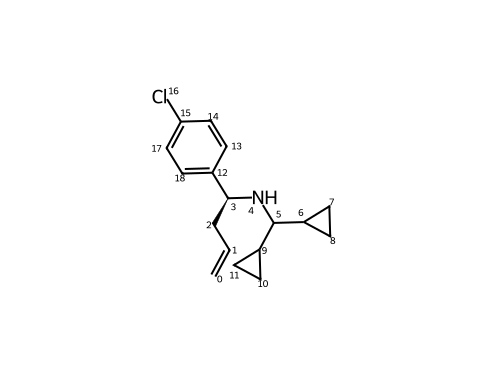 C=CC[C@H](NC(C1CC1)C1CC1)c1ccc(Cl)cc1